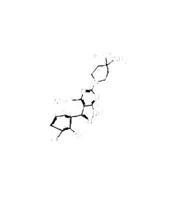 COc1nc(N2CCC(C)(N)CC2)nc2[nH]nc(-c3cccc(Cl)c3Cl)c12